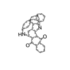 O=c1c2ccccc2c(=O)c2c1c1cc3c4ccccc4n(c4ccccc4c4ccc(cc4)[nH]1)c32